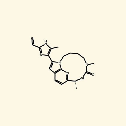 C=Cc1nc(-c2cc3ccc4nc3n2CCCCN(C)C(=O)N[C@@H]4C)c(C)[nH]1